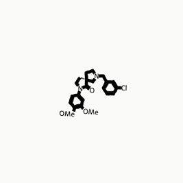 COc1ccc(N2CC[C@@]3(CCN(Cc4cccc(Cl)c4)C3)C2=O)cc1OC